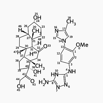 COc1cc(Nc2nnc(N)[nH]2)ccc1-n1cnc(C)c1.C[C@]12CC[C@@H](O)C[C@H]1CC[C@@H]1[C@@H]2C(=O)C[C@@]2(C)[C@H]1CC[C@]2(O)C(=O)CO